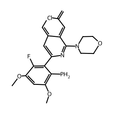 C=C(Cl)/C=c1/c(N2CCOCC2)nc(-c2c(F)c(OC)cc(OC)c2P)c/c1=C/C